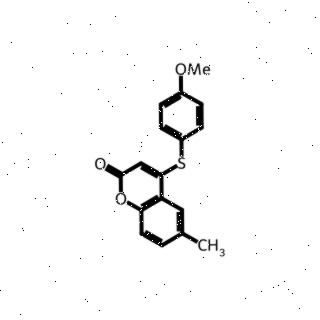 COc1ccc(Sc2cc(=O)oc3ccc(C)cc23)cc1